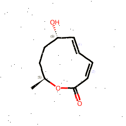 C[C@H]1CC[C@H](O)/C=C/C=C\C(=O)O1